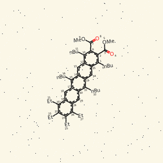 CCCCc1c(C(=O)OC)c(C(=O)OC)c(CCCC)c2cc3c(CCCC)c4cc5c(CC)c(CC)c(CC)c(CC)c5cc4c(CCCC)c3cc12